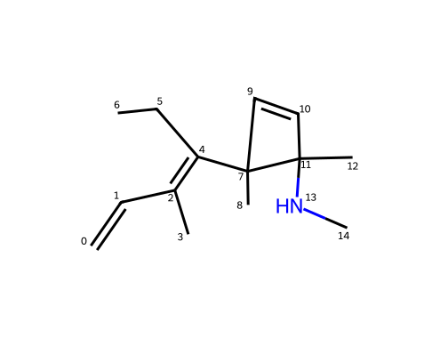 C=C/C(C)=C(\CC)C1(C)C=CC1(C)NC